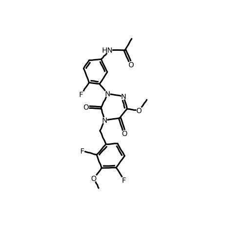 COc1c(F)ccc(Cn2c(=O)c(OC)nn(-c3cc(NC(C)=O)ccc3F)c2=O)c1F